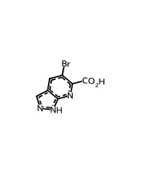 O=C(O)c1nc2[nH]ncc2cc1Br